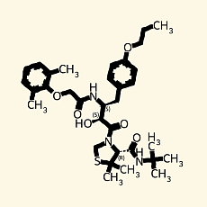 CCCOc1ccc(C[C@H](NC(=O)COc2c(C)cccc2C)[C@H](O)C(=O)N2CSC(C)(C)[C@H]2C(=O)NC(C)(C)C)cc1